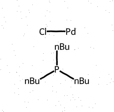 CCCCP(CCCC)CCCC.[Cl][Pd]